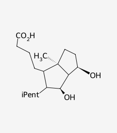 CCCC(C)C1C(CCCC(=O)O)[C@@]2(C)CC[C@@H](O)C2[C@H]1O